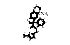 CN1CCOc2cc3c(cc21)C1(CO3)C(=O)N(Cc2ccc(CF)o2)c2ccccc21